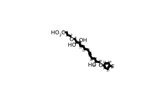 O=C(O)CCCOC[C@H](O)[C@H](O)C=CC=CC#CC=C[C@H](O)COc1ccc(F)cc1